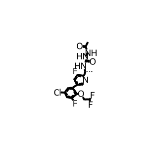 CC(=O)NNC(=O)N[C@H](C)c1ncc(-c2cc(Cl)cc(F)c2OCC(F)F)cc1F